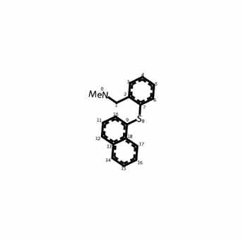 CNCc1ccccc1Sc1cccc2ccccc12